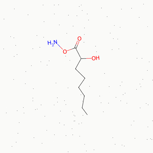 CCCCCCC(O)C(=O)ON